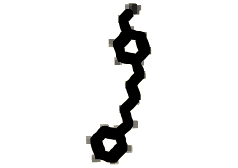 BrCc1ccc(CC=CCCc2ccccc2)cc1